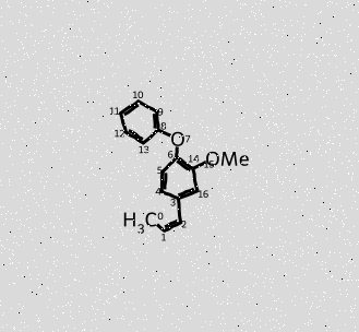 C/C=C\c1ccc(Oc2ccccc2)c(OC)c1